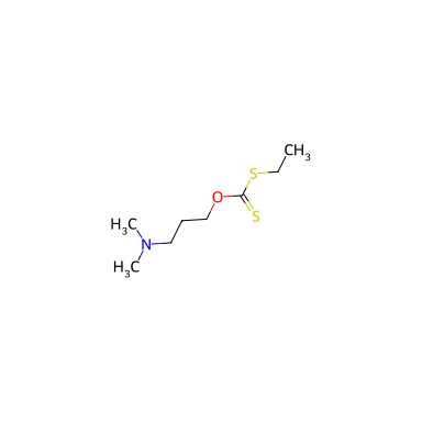 CCSC(=S)OCCCN(C)C